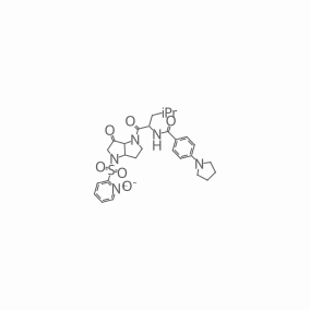 CC(C)CC(NC(=O)c1ccc(N2CCCC2)cc1)C(=O)N1CCC2C1C(=O)CN2S(=O)(=O)c1cccc[n+]1[O-]